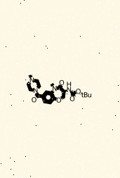 CN1CCN(C(=O)c2ccc3c(c2)N(C)C(=O)[C@@H](NC(=O)OC(C)(C)C)CO3)CC1